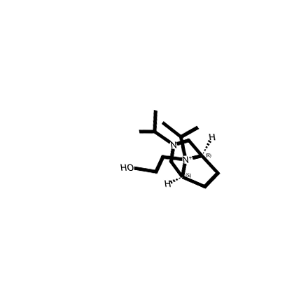 CC(C)N1C[C@H]2CC[C@@H](C1)[N+]2(CCO)C(C)C